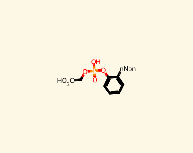 CCCCCCCCCc1ccccc1OP(=O)(O)OCC(=O)O